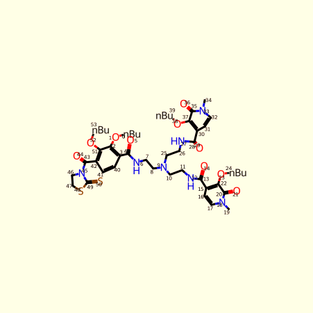 CCCCOc1c(C(=O)NCCN(CCNC(=O)c2ccn(C)c(=O)c2OCCCC)CCNC(=O)c2ccn(C)c(=O)c2OCCCC)ccc(C(=O)N2CCSC2=S)c1OCCCC